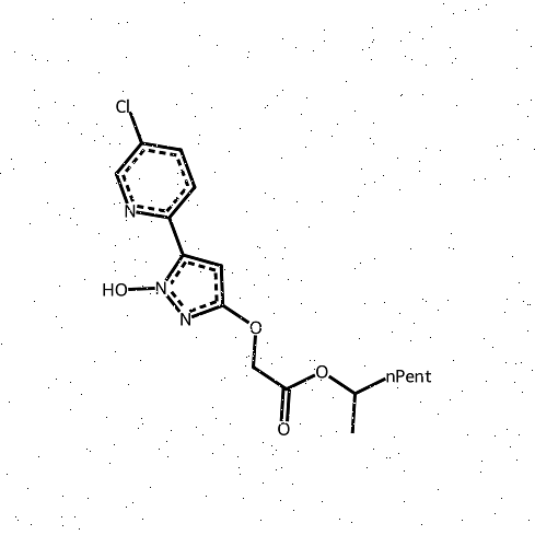 CCCCCC(C)OC(=O)COc1cc(-c2ccc(Cl)cn2)n(O)n1